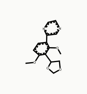 COc1ccc(-c2cnccn2)c(OC)c1C1COCO1